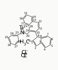 CC1=Cc2ccccc2C1c1ccc2ccccc2c1C[N]([Ti+2])c1ccccc1.[Cl-].[Cl-]